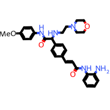 COc1ccc(NC(=O)C(NCCN2CCOCC2)c2ccc(/C=C/C(=O)Nc3ccccc3N)cc2)cc1